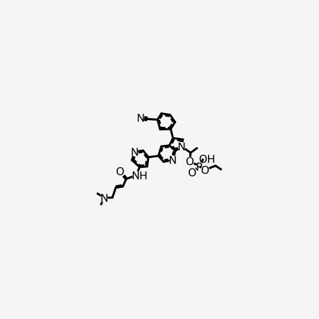 CCOP(=O)(O)OC(C)n1cc(-c2cccc(C#N)c2)c2cc(-c3cncc(NC(=O)C=CCN(C)C)c3)cnc21